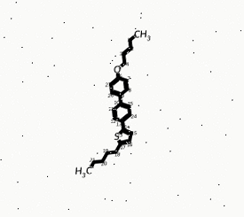 CC/C=C/COc1ccc(-c2ccc(-c3ccc(CCCCC)s3)cc2)cc1